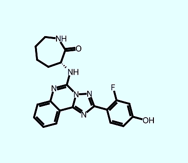 O=C1NCCCC[C@H]1Nc1nc2ccccc2c2nc(-c3ccc(O)cc3F)nn12